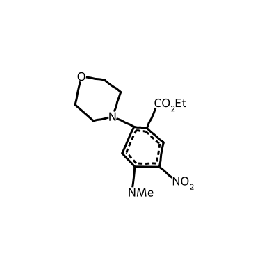 CCOC(=O)c1cc([N+](=O)[O-])c(NC)cc1N1CCOCC1